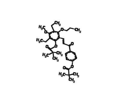 CCCOc1c(C=CC(=O)c2ccc(OC(=O)C(C)(C)C)cc2)c(OC(=O)C(C)(C)C)c(CC)c(OC)c1CC